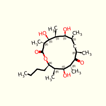 CCCC[C@H]1OC(=O)[C@H](C)[C@@H](O)[C@@H](C)[C@@H](O)[C@@H](C)C[C@@H](C)C(=O)[C@H](C)[C@@H](O)[C@H]1C